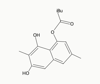 CCC(C)C(=O)Oc1cc(C)cc2cc(O)c(C)c(O)c12